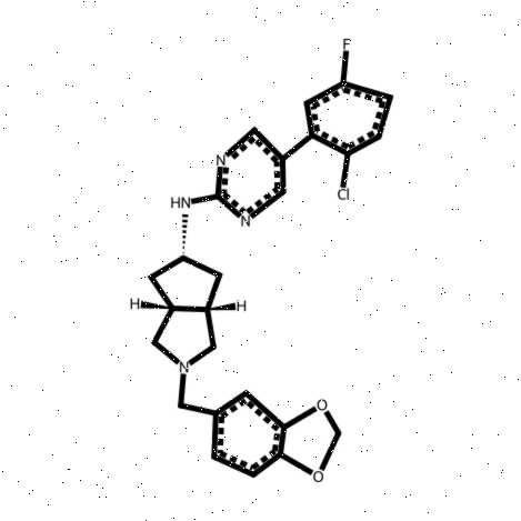 Fc1ccc(Cl)c(-c2cnc(N[C@@H]3C[C@@H]4CN(Cc5ccc6c(c5)OCO6)C[C@@H]4C3)nc2)c1